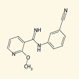 COc1ncccc1C(=N)Nc1cccc(C#N)c1